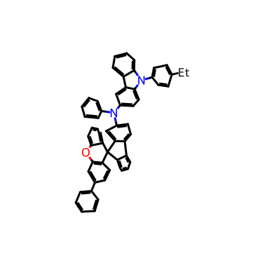 CCc1ccc(-n2c3ccccc3c3cc(N(c4ccccc4)c4ccc5c(c4)C4(c6ccccc6Oc6cc(-c7ccccc7)ccc64)c4ccccc4-5)ccc32)cc1